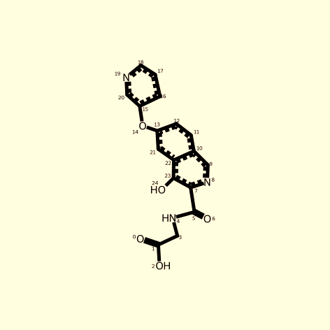 O=C(O)CNC(=O)c1ncc2ccc(Oc3cccnc3)cc2c1O